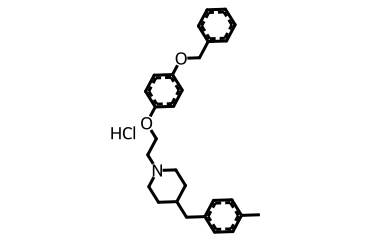 Cc1ccc(CC2CCN(CCOc3ccc(OCc4ccccc4)cc3)CC2)cc1.Cl